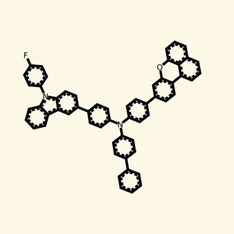 Fc1ccc(-n2c3ccccc3c3cc(-c4ccc(N(c5ccc(-c6ccccc6)cc5)c5ccc(-c6ccc7c(c6)Oc6cccc8cccc-7c68)cc5)cc4)ccc32)cc1